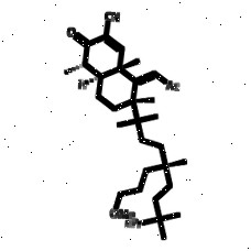 CCCC(C)(C)CC[C@](C)(CCCOC)CCC(C)(C)[C@]1(C)CC[C@H]2[C@H](C)C(=O)C(C#N)=C[C@]2(C)/C1=C/C(C)=O